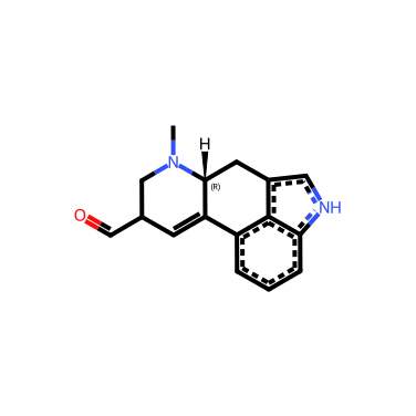 CN1CC(C=O)C=C2c3cccc4[nH]cc(c34)C[C@H]21